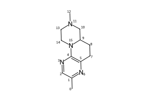 Cc1cnc2c(n1)CCC1CN(C)CCN21